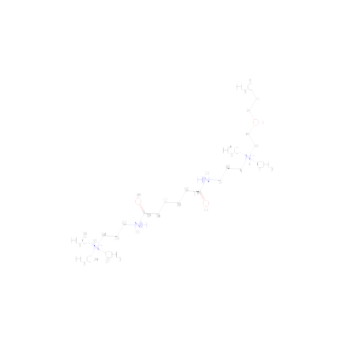 CCCOCC[N+](C)(C)CCCNC(=O)CCCCC(=O)NCCC[N+](C)(C)C